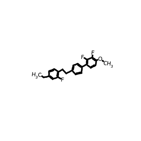 CCc1ccc(CCc2ccc(-c3ccc(OC)c(F)c3F)cc2)c(F)c1